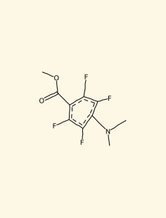 COC(=O)c1c(F)c(F)c(N(C)C)c(F)c1F